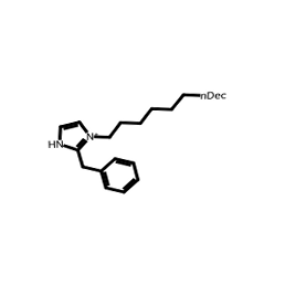 CCCCCCCCCCCCCCCC[n+]1cc[nH]c1Cc1ccccc1